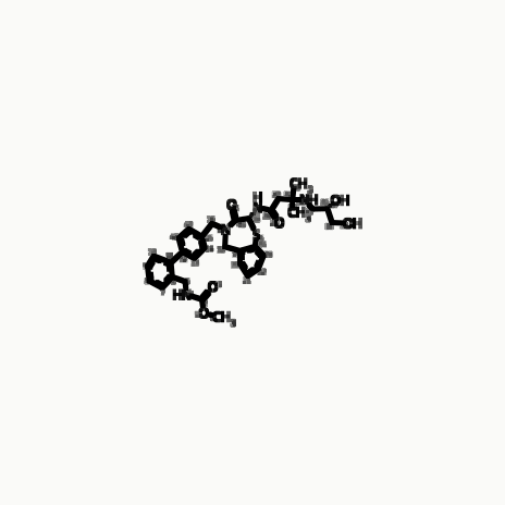 COC(=O)NCc1ccccc1-c1ccc(CN2Cc3ccccc3S[C@@H](NC(=O)CC(C)(C)NC[C@H](O)CO)C2=O)cc1